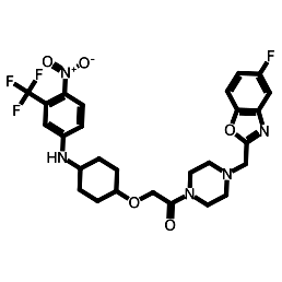 O=C(COC1CCC(Nc2ccc([N+](=O)[O-])c(C(F)(F)F)c2)CC1)N1CCN(Cc2nc3cc(F)ccc3o2)CC1